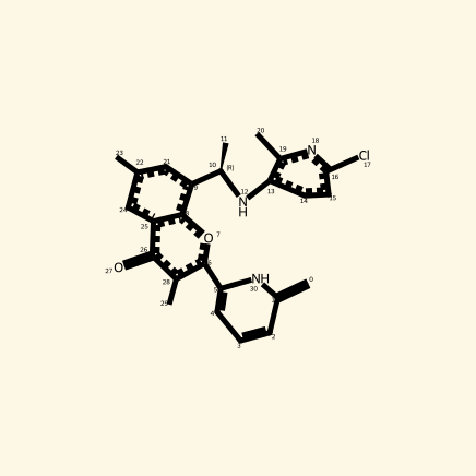 C=C1C=CC=C(c2oc3c([C@@H](C)Nc4ccc(Cl)nc4C)cc(C)cc3c(=O)c2C)N1